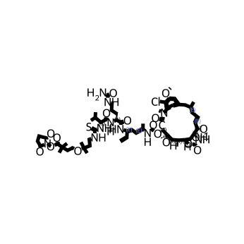 C=C/C(=C\C=C(/C)NC(=O)O[C@H]1CC(=O)N(C)c2cc(cc(OC)c2Cl)C/C(C)=C/C=C/[C@@H](OC)[C@@]2(O)C[C@H](OC(=O)N2)[C@@H](C)[C@@H]2O[C@@]12C)NC(=O)[C@H](CCCNC(N)=O)NC(=O)[C@@H](NC(=S)NCCC(C)(C)OCCC(C)(C)C(=O)ON1C(=O)CCC1=O)C(C)C